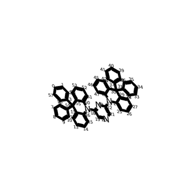 c1ccc(C2(c3ccccc3)c3ccccc3N(c3cncc(N4c5ccccc5C(c5ccccc5)(c5ccccc5)c5ccccc54)n3)c3ccccc32)cc1